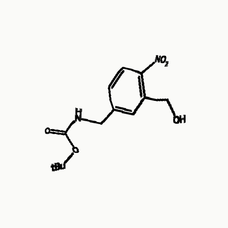 CC(C)(C)OC(=O)NCc1ccc([N+](=O)[O-])c(CO)c1